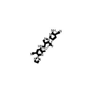 Cc1nc(-n2nccn2)c(C#N)cc1NC(O)c1cnn(-c2ccc(C#N)c(N)n2)c1C(F)(F)F